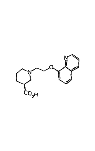 O=C(O)C1CCCN(CCOc2cccc3cccnc23)C1